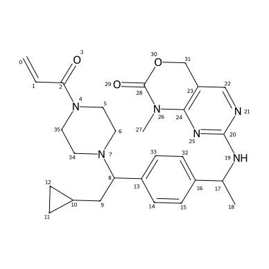 C=CC(=O)N1CCN(C(CC2CC2)c2ccc(C(C)Nc3ncc4c(n3)N(C)C(=O)OC4)cc2)CC1